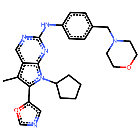 Cc1c(-c2cnco2)n(C2CCCC2)c2nc(Nc3ccc(CN4CCOCC4)cc3)ncc12